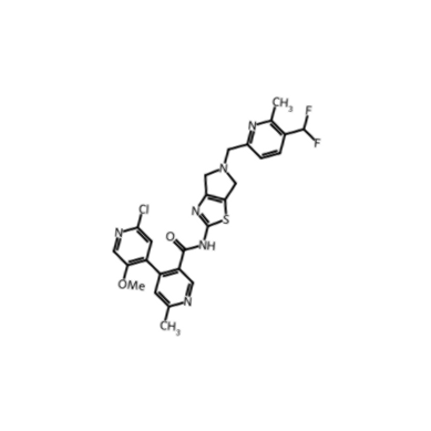 COc1cnc(Cl)cc1-c1cc(C)ncc1C(=O)Nc1nc2c(s1)CN(Cc1ccc(C(F)F)c(C)n1)C2